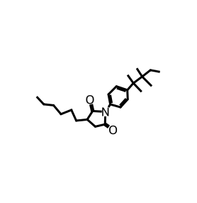 CCCCCCC1CC(=O)N(c2ccc(C(C)(C)C(C)(C)CC)cc2)C1=O